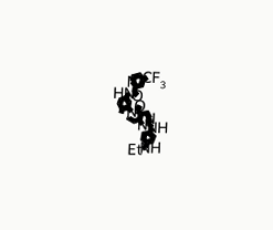 CCNc1ccc(Nc2ncc3c(n2)CCN(c2cc(NC(=O)c4cc(C(F)(F)F)ccn4)ccc2C)C3=O)cc1